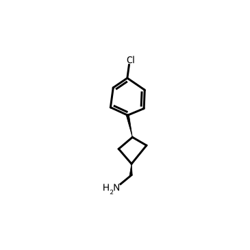 NC[C@H]1C[C@@H](c2ccc(Cl)cc2)C1